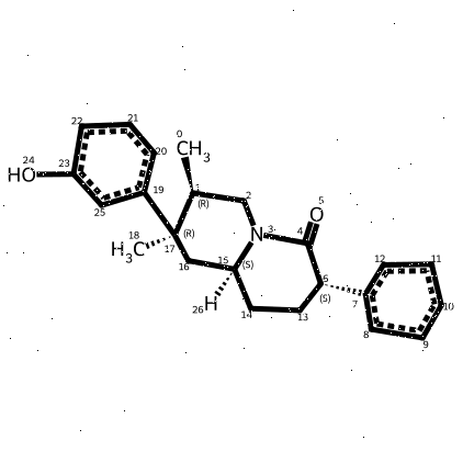 C[C@H]1CN2C(=O)[C@H](c3ccccc3)CC[C@H]2C[C@@]1(C)c1cccc(O)c1